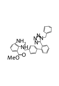 COC(=O)c1cccc(N)c1NCc1ccc(-c2ccccc2-c2nnnn2Cc2ccccc2)cc1